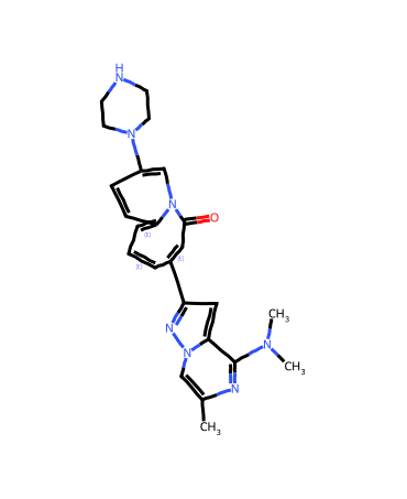 Cc1cn2nc(C3=C\C(=O)N4C=C(N5CCNCC5)C=C\C4=C/C=C/3)cc2c(N(C)C)n1